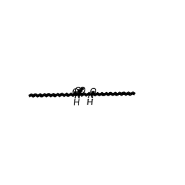 CCC=CCC=CCC=CCC=CCC=CCC=CCCC(=O)NC(CCCCNC(=O)CCCC=CCC=CCC=CCC=CCC=CCC)C(=O)OC